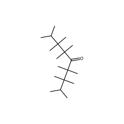 CC(C)C(C)(C)C(C)(C)C(=O)C(C)(C)C(C)(C)C(C)C